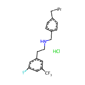 CC(C)Cc1ccc(CNCCc2cc(F)cc(C(F)(F)F)c2)cc1.Cl